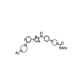 CNC(=O)N1CCN(c2ccc(Nc3ncn(-c4ccnc(N5CCCN(C(C)=O)CC5)c4)n3)cc2)CC1